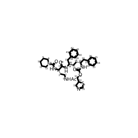 CC(=O)NCC[C@H](NC(=O)N1CCCCC1)C(=O)N[C@H](CC[C@H](Cc1ccccc1)NC(=O)OCC1CN=CS1)Cc1ccccc1